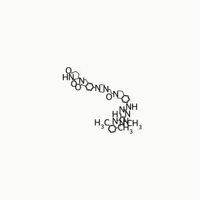 Cc1cccc(C)c1Nc1nn(C)c2nc(Nc3ccc4c(c3)CN(C(=O)CN3CCN(c5ccc6c(c5)CN(C5CCC(=O)NC5=O)C6=O)CC3)CC4)ncc12